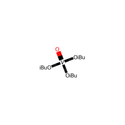 CC(C)C[O][V](=[O])([O]CC(C)C)[O]CC(C)C